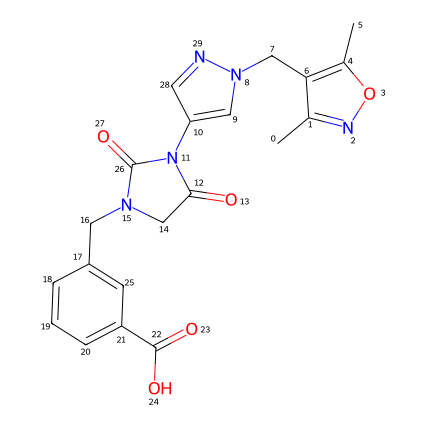 Cc1noc(C)c1Cn1cc(N2C(=O)CN(Cc3cccc(C(=O)O)c3)C2=O)cn1